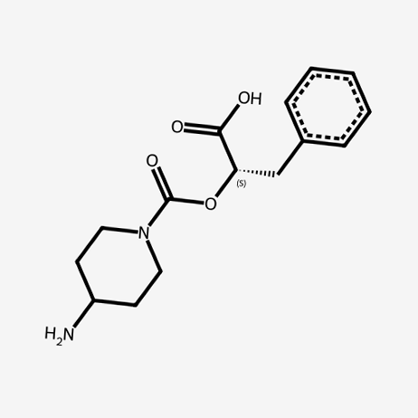 NC1CCN(C(=O)O[C@@H](Cc2ccccc2)C(=O)O)CC1